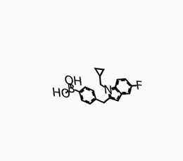 OB(O)c1ccc(Cc2cc3cc(F)ccc3n2CC2CC2)cc1